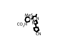 CSc1c(C)nc2cc(-c3ccc(C#N)cc3)nn2c1N1CCCC(C(=O)O)C1